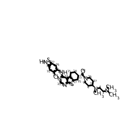 CN(C)CCN(C)C1CCN(C(=O)[C@H]2CCc3c(sc4ncnc(Nc5cc6s[nH]c6cc5Cl)c34)C2)CC1